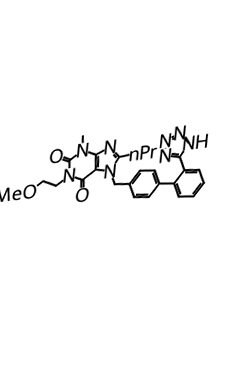 CCCc1nc2c(c(=O)n(CCOC)c(=O)n2C)n1Cc1ccc(-c2ccccc2-c2nnn[nH]2)cc1